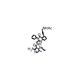 C=C/C=N\c1c(C)cnc(N)c1C(=O)N[C@H](C)c1nc2cccc(C#CCNC(C)=O)c2c(=O)n1-c1ccccc1